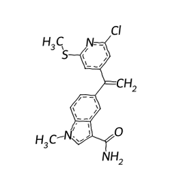 C=C(c1cc(Cl)nc(SC)c1)c1ccc2c(c1)c(C(N)=O)cn2C